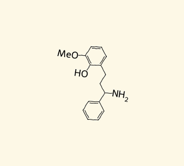 COc1cccc(CCC(N)c2ccccc2)c1O